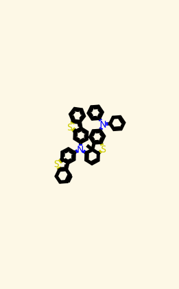 CC12C(N(c3ccc4c(c3)sc3ccccc34)c3ccc4sc5c(c4c3)C#CCC5)=CC=CC1Sc1cc(N(c3ccccc3)C3C=CC=CC3)ccc12